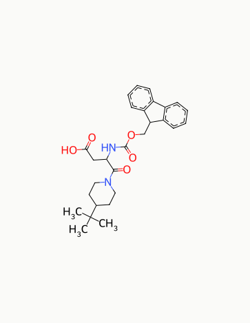 CC(C)(C)C1CCN(C(=O)C(CC(=O)O)NC(=O)OCC2c3ccccc3-c3ccccc32)CC1